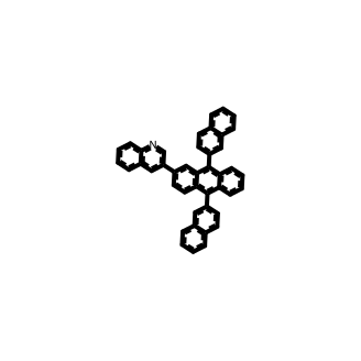 c1ccc2cc(-c3c4ccccc4c(-c4ccc5ccccc5c4)c4cc(-c5cnc6ccccc6c5)ccc34)ccc2c1